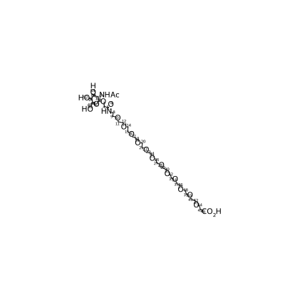 CC(=O)N[C@@H]1[C@H](OCC(=O)NCCOCCOCCOCCOCCOCCOCCOCCOCCOCCOCCOCCOCCC(=O)O)O[C@H](CO)[C@@H](O)[C@@H]1O